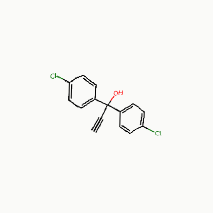 C#CC(O)(c1ccc(Cl)cc1)c1ccc(Cl)cc1